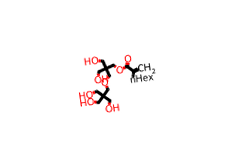 C=C(CCCCCC)C(=O)OCC(CO)(CO)COCC(CO)(CO)CO